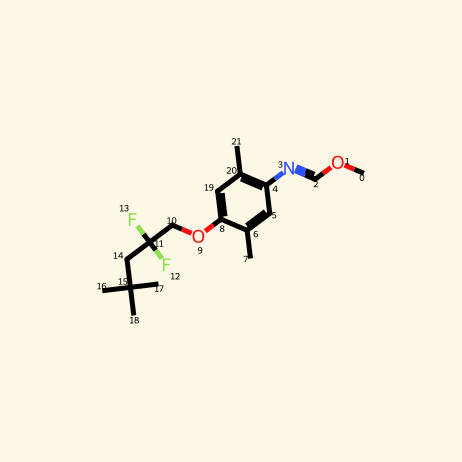 COC=Nc1cc(C)c(OCC(F)(F)CC(C)(C)C)cc1C